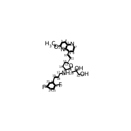 COc1ccc2nccc(C=C[C@@H]3CC[C@@H](NCC=Cc4cc(F)ccc4F)[C@@H](CC(O)CO)O3)c2n1